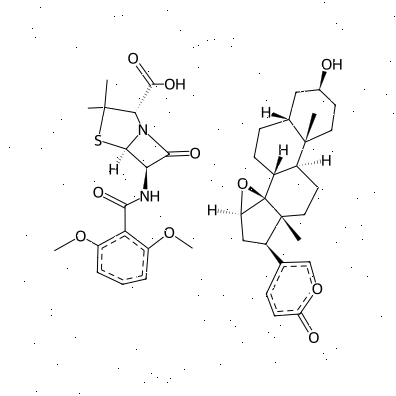 COc1cccc(OC)c1C(=O)N[C@@H]1C(=O)N2[C@@H]1SC(C)(C)[C@@H]2C(=O)O.C[C@]12CC[C@H](O)C[C@H]1CC[C@@H]1[C@@H]2CC[C@]2(C)[C@@H](c3ccc(=O)oc3)C[C@H]3O[C@]132